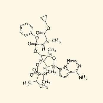 CC(C)C(=O)O[C@H]1[C@H](c2ccc3c(N)ncnn23)O[C@]2(C)C(OP(=O)(N[C@@H](C)C(=O)OC3CC3)Oc3ccccc3)[C@]12OC(=O)C(C)C